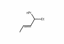 CC=CC(CC)CCC